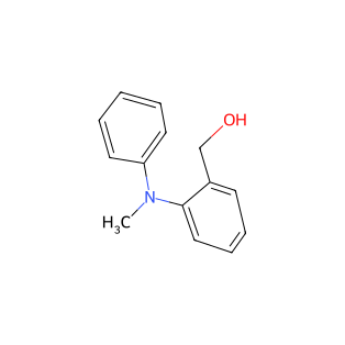 CN(c1ccccc1)c1ccccc1CO